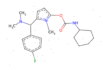 CN(C)C(c1ccc(F)cc1)c1ccc(OC(=O)NC2CCCCC2)n1C